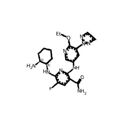 CCOc1ncc(Nc2nc(N[C@@H]3CCCC[C@@H]3N)c(F)cc2C(N)=O)cc1-n1nccn1